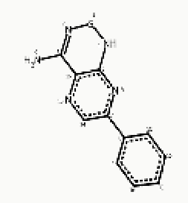 NC1=NSNc2nc(-c3ccccc3)cnc21